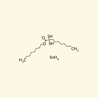 CCCCCCCCOC(=O)C(S)(S)CCCCCCCC.[SnH4]